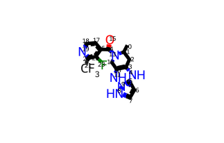 CC1CC(Nc2cc[nH]n2)=C(N)CN1C(=O)c1ccnc(C(F)(F)F)c1F